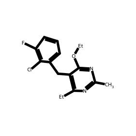 CCOc1nc(C)nc(CC)c1Cc1cccc(F)c1Cl